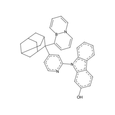 Oc1ccc2c3ccccc3n(-c3cc(C4(C5=CC=CN6C=CC=CB56)C5CC6CC(C5)CC4C6)ccn3)c2c1